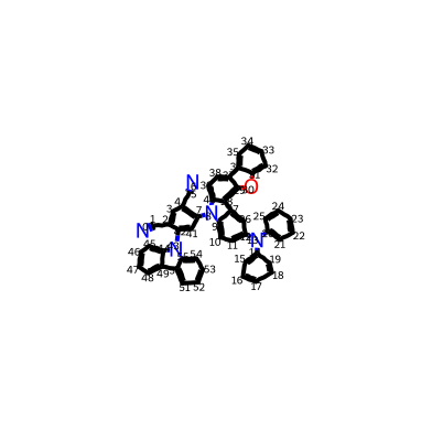 N#Cc1cc(C#N)c(-n2c3ccc(N(c4ccccc4)c4ccccc4)cc3c3c4oc5ccccc5c4ccc32)cc1-n1c2ccccc2c2ccccc21